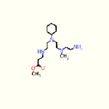 COC(=O)CCNCCN(CCN(C)CCN)C1CCCCC1